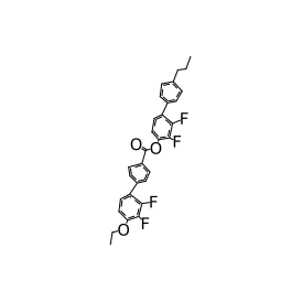 CCCc1ccc(-c2ccc(OC(=O)c3ccc(-c4ccc(OCC)c(F)c4F)cc3)c(F)c2F)cc1